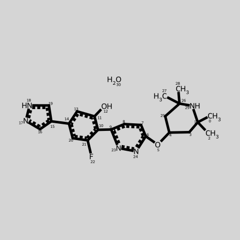 CC1(C)CC(Oc2ccc(-c3c(O)cc(-c4cn[nH]c4)cc3F)nn2)CC(C)(C)N1.O